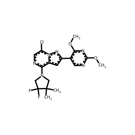 COc1ncc(-c2cc3c(N4CC(C)(C)C(F)(F)C4)ncc(Cl)n3n2)c(OC)n1